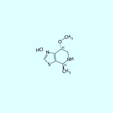 CO[C@@H]1CN[C@@H](C)c2scnc21.Cl